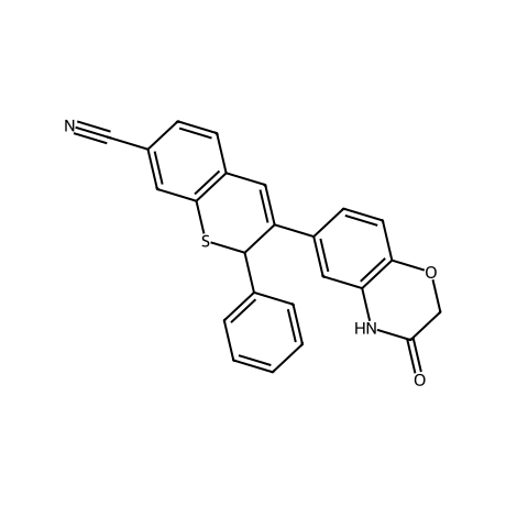 N#Cc1ccc2c(c1)SC(c1ccccc1)C(c1ccc3c(c1)NC(=O)CO3)=C2